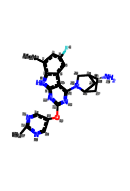 CNc1cc(F)cc2c1[nH]c1nc(Oc3cnc(C(C)(C)C)nc3)nc(N3CC4CC3C[C@H]4N)c12